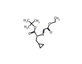 CCOC(=O)/C=N/N(CC1CC1)C(=O)OC(C)(C)C